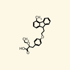 CCOC(Cc1ccc(OCCC2c3ccccc3-c3c(C)cccc32)cc1)C(=O)O